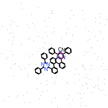 N#Cc1cccc(-c2cccc(-c3ccccc3-c3nc(-c4ccccc4)nc(-c4ccccc4)n3)c2-c2ccccc2-c2nc(-c3ccccc3)nc(-c3ccccc3)n2)c1